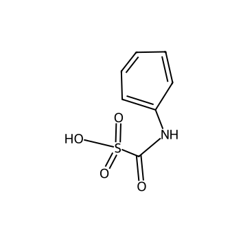 O=C(Nc1ccccc1)S(=O)(=O)O